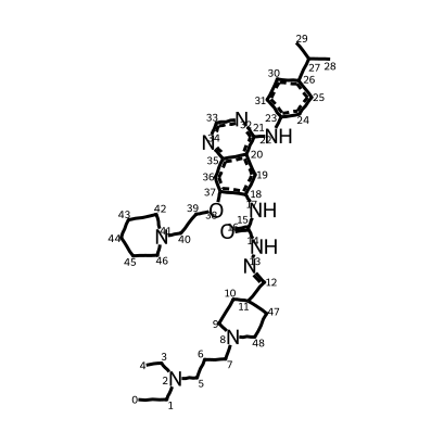 CCN(CC)CCCN1CCC(/C=N/NC(=O)Nc2cc3c(Nc4ccc(C(C)C)cc4)ncnc3cc2OCCN2CCCCC2)CC1